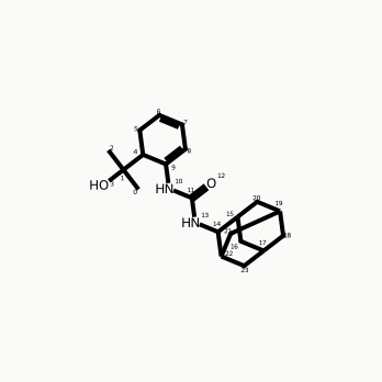 CC(C)(O)C1CC=CC=C1NC(=O)NC1C2CC3CC(C2)CC1C3